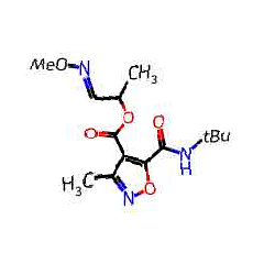 CO/N=C/C(C)OC(=O)c1c(C)noc1C(=O)NC(C)(C)C